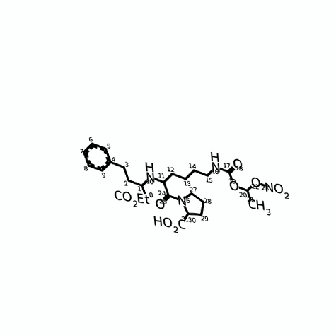 CCOC(=O)C(CCc1ccccc1)NC(CCCCNC(=O)OC(C)O[N+](=O)[O-])C(=O)N1CCCC1C(=O)O